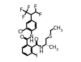 CCSC[C@H](C)NC(=O)c1c(I)cccc1C(=O)Nc1ccc(C(C(F)F)C(F)(F)F)cc1Cl